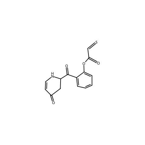 O=C1C=CNC(C(=O)c2ccccc2OC(=O)C=S)C1